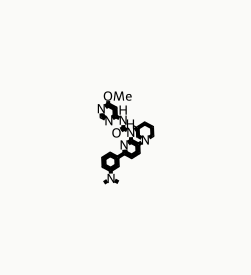 COc1cc(NC(=O)N2c3nc(-c4cccc(N(C)C)c4)ccc3N3CCC[C@H]2C3)ncn1